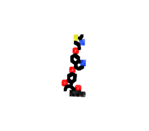 CNC(=O)c1c(C)oc2cc(Oc3ccnc4cc(OCc5csc(C)n5)ccc34)ccc12